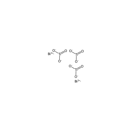 [Bi+3].[Bi+3].[O]=[Ti]([O-])[O-].[O]=[Ti]([O-])[O-].[O]=[Ti]([O-])[O-]